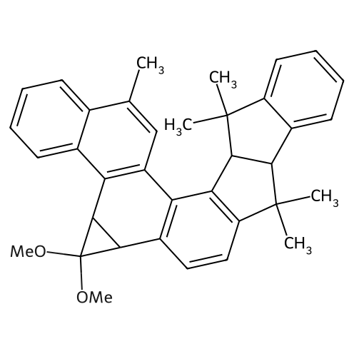 COC1(OC)C2c3ccc4c(c3-c3cc(C)c5ccccc5c3C21)C1C(c2ccccc2C1(C)C)C4(C)C